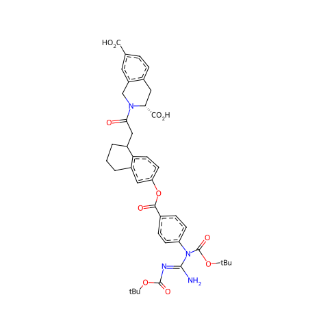 CC(C)(C)OC(=O)N=C(N)N(C(=O)OC(C)(C)C)c1ccc(C(=O)Oc2ccc3c(c2)CCCC3CC(=O)N2Cc3cc(C(=O)O)ccc3C[C@@H]2C(=O)O)cc1